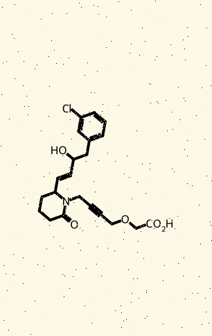 O=C(O)COCC#CCN1C(=O)CCCC1C=CC(O)Cc1cccc(Cl)c1